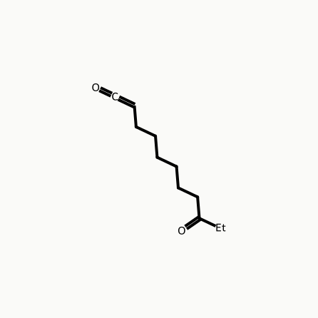 CCC(=O)CCCCCCC=C=O